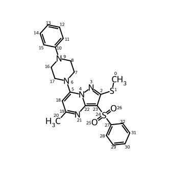 CSc1nn2c(N3CCN(c4ccccc4)CC3)cc(C)nc2c1S(=O)(=O)c1ccccc1